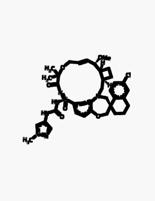 CO[C@H]1/C=C/COC(C)(C)C(=O)N=[S@](=O)(NC(=O)Nc2cnn(C)c2)c2ccc3c(c2)N(C[C@@H]2CC[C@H]21)C[C@@]1(CCCc2cc(Cl)ccc21)CO3